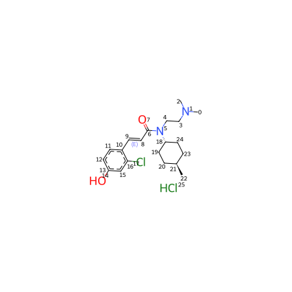 CN(C)CCN(C(=O)/C=C/c1ccc(O)cc1Cl)[C@H]1CC[C@H](C)CC1.Cl